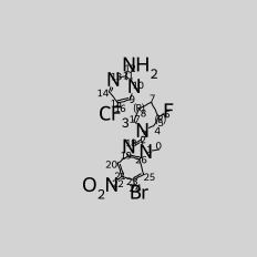 Cn1c(N2C[C@H](F)C[C@@H](c3nc(N)ncc3C(F)(F)F)C2)nc2cc([N+](=O)[O-])c(Br)cc21